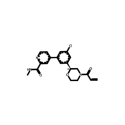 C=CC(=O)N1CCO[C@@H](c2cc(Cl)cc(-c3ccnc(C(=O)NC)c3)c2)C1